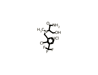 CN(Cc1cccc(C(F)(F)F)c1Cl)C(CO)C(N)=O.Cl